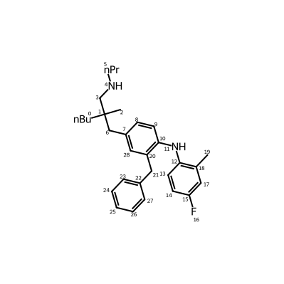 CCCCC(C)(CNCCC)Cc1ccc(Nc2ccc(F)cc2C)c(Cc2ccccc2)c1